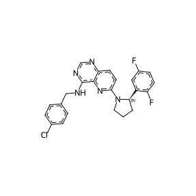 Fc1ccc(F)c([C@H]2CCCN2c2ccc3ncnc(NCc4ccc(Cl)cc4)c3n2)c1